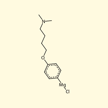 CN(C)CCCCOc1cc[c]([Mg][Cl])cc1